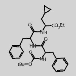 CCOC(=O)C(CC1CC1)NC(=O)C(Cc1ccccc1)NC(=O)C(Cc1ccccc1)NC(=O)OC(C)(C)C